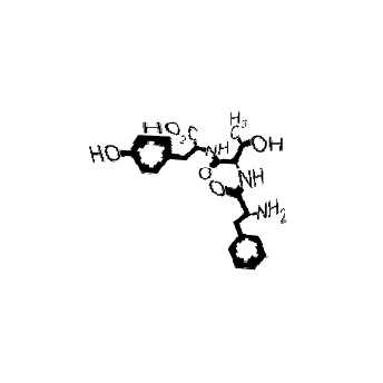 C[C@@H](O)[C@H](NC(=O)[C@@H](N)Cc1ccccc1)C(=O)N[C@@H](Cc1ccc(O)cc1)C(=O)O